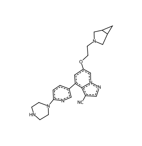 N#Cc1cnn2cc(OCCN3CC4CC4C3)cc(-c3ccc(N4CCNCC4)nc3)c12